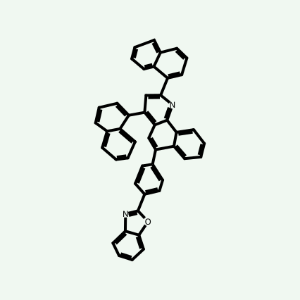 c1ccc2c(-c3cc(-c4cccc5ccccc45)c4cc(-c5ccc(-c6nc7ccccc7o6)cc5)c5ccccc5c4n3)cccc2c1